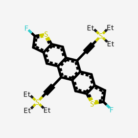 CCS(C#Cc1c2cc3cc(F)sc3cc2c(C#CS(CC)(CC)CC)c2cc3cc(F)sc3cc12)(CC)CC